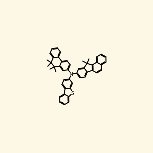 CC1(C)c2cc(N(c3ccc4c(c3)C(C)(C)C(C)(C)c3ccccc3-4)c3ccc4c(c3)sc3ccccc34)ccc2-c2ccc3ccccc3c21